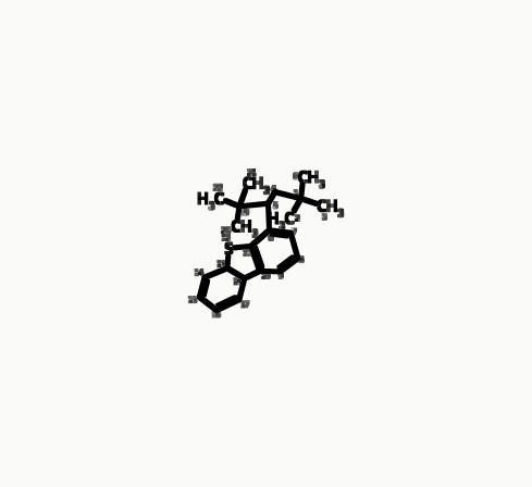 CC(C)(C)CC(c1cccc2c1SC1C=CC=CC21)C(C)(C)C